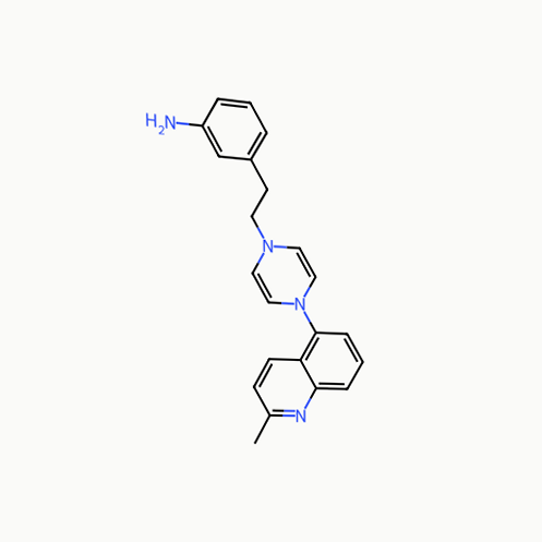 Cc1ccc2c(N3C=CN(CCc4cccc(N)c4)C=C3)cccc2n1